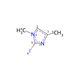 Cc1cn(C)c(I)n1